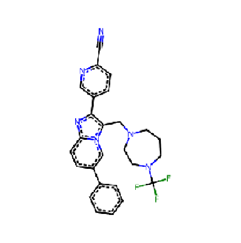 N#Cc1ccc(-c2nc3ccc(-c4ccccc4)cn3c2CN2CCCN(C(F)(F)F)CC2)cn1